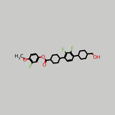 COc1ccc(OC(=O)C2CCC(c3ccc(C4CCC(CO)CC4)c(F)c3F)CC2)cc1F